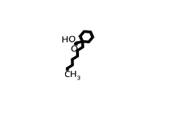 CCCCCCCC1(C(=O)O)CCCCC1